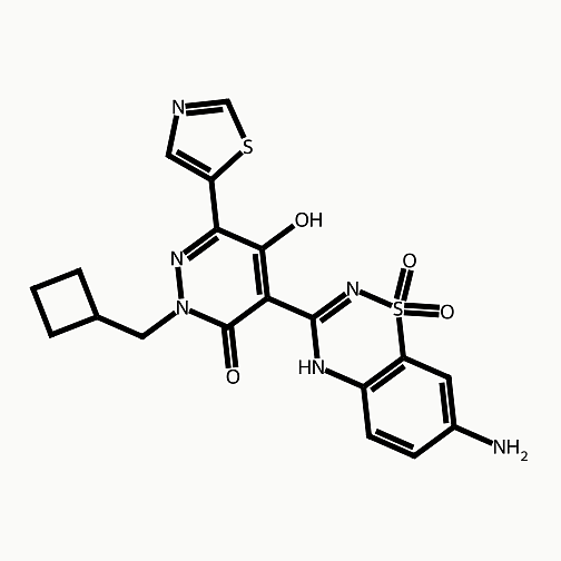 Nc1ccc2c(c1)S(=O)(=O)N=C(c1c(O)c(-c3cncs3)nn(CC3CCC3)c1=O)N2